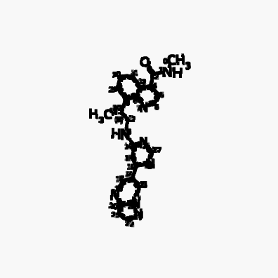 CNC(=O)c1ccnc2c([C@@H](C)CNc3cc(-c4cnc5ccnn5c4)ncn3)cccc12